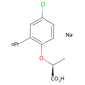 CCCc1cc(Cl)ccc1O[C@@H](C)C(=O)O.[Na]